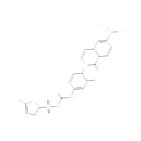 CN(C)c1ccc2c(=O)n(-c3ccc(NC(=O)NS(=O)(=O)c4ccc(Cl)s4)cc3F)ccc2c1